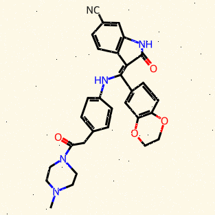 CN1CCN(C(=O)Cc2ccc(NC(=C3C(=O)Nc4cc(C#N)ccc43)c3ccc4c(c3)OCCO4)cc2)CC1